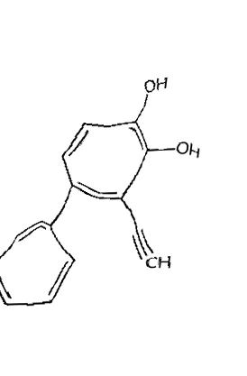 C#Cc1c(-c2ccccc2)ccc(O)c1O